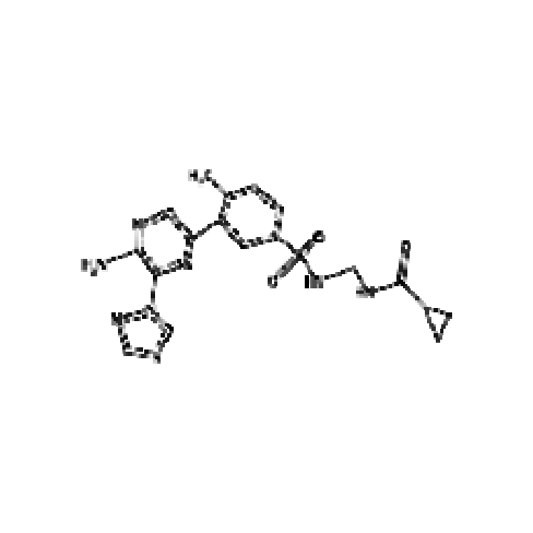 Cc1ccc(S(=O)(=O)NCNC(=O)C2CC2)cc1-c1cnc(N)c(-n2cncn2)n1